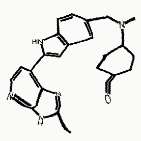 Cc1nc2c(-c3cc4cc(CN(C)C5CCC(=O)CC5)ccc4[nH]3)ccnc2[nH]1